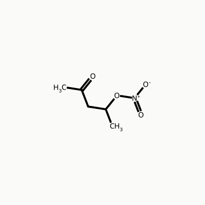 CC(=O)CC(C)O[N+](=O)[O-]